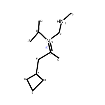 CNC/[N+](=C(\C)CC1CCC1)C(C)C